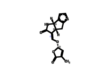 CC1=C[C@@H](O/C=C2/C(=O)N[C@@H]3c4ccsc4C[C@H]23)OC1=O